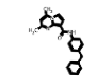 Cc1cc(C)n2ccc(C(=O)Nc3ccc(Cc4ccccc4)cc3)c2n1